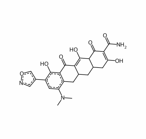 CN(C)c1cc(-c2cnoc2)c(O)c2c1CC1CC3CC(O)=C(C(N)=O)C(=O)C3C(O)=C1C2=O